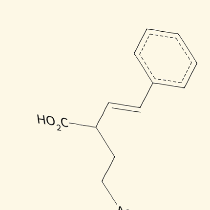 CC(=O)CCC(C=Cc1ccccc1)C(=O)O